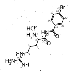 Cl.N=C(N)NCCC[C@H](N)C(=O)NC(=O)c1ccc(Br)cc1